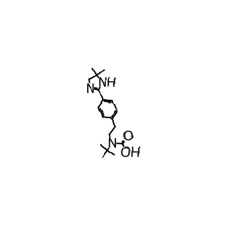 CC1(C)CN=C(c2ccc(CCN(C(=O)O)C(C)(C)C)cc2)N1